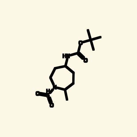 CC1CCC(NC(=O)OC(C)(C)C)CCN1[SH](=O)=O